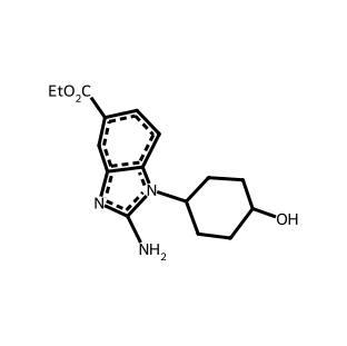 CCOC(=O)c1ccc2c(c1)nc(N)n2C1CCC(O)CC1